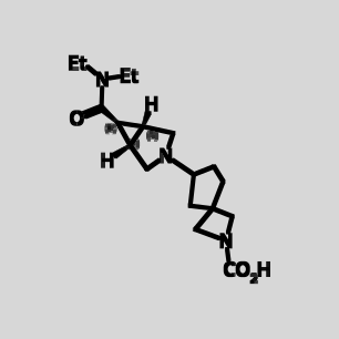 CCN(CC)C(=O)[C@H]1[C@@H]2CN(C3CCC4(C3)CN(C(=O)O)C4)C[C@@H]21